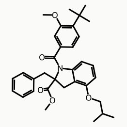 COC(=O)C1(Cc2ccccc2)Cc2c(OCC(C)C)cccc2N1C(=O)c1ccc(C(C)(C)C)c(OC)c1